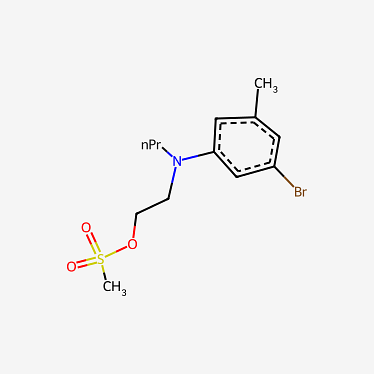 CCCN(CCOS(C)(=O)=O)c1cc(C)cc(Br)c1